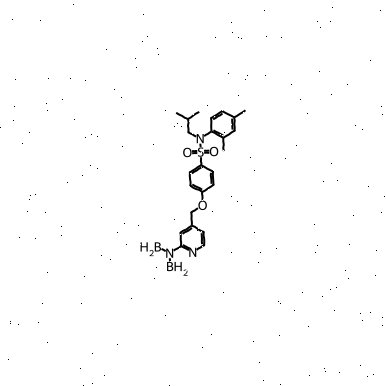 BN(B)c1cc(COc2ccc(S(=O)(=O)N(CC(C)C)c3ccc(C)cc3C)cc2)ccn1